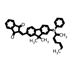 C=C(/C=C\C=C/C)N(c1ccccc1)c1ccc2c(c1)C(C)(C)c1cc(C=C3C(=O)c4ccccc4C3=O)ccc1-2